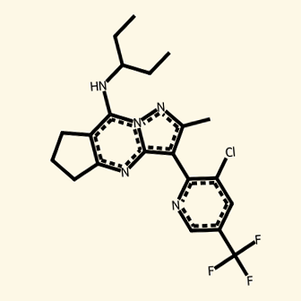 CCC(CC)Nc1c2c(nc3c(-c4ncc(C(F)(F)F)cc4Cl)c(C)nn13)CCC2